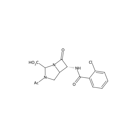 CC(=O)N1CC2[C@@H](NC(=O)c3ccccc3Cl)C(=O)N2C1C(=O)O